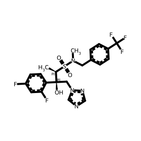 C[C@H]([C@](O)(Cn1cncn1)c1ccc(F)cc1F)S(=O)(=O)N(C)Cc1ccc(C(F)(F)F)cc1